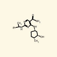 CC(C)C(C)Nc1ncc(C(N)=O)c(N[C@@H]2CC[C@@H](C)[C@H](O)C2)n1